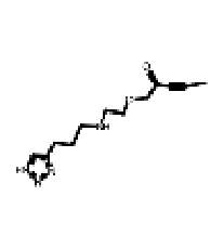 CC#CC(=O)COCCNCCCc1c[nH]nn1